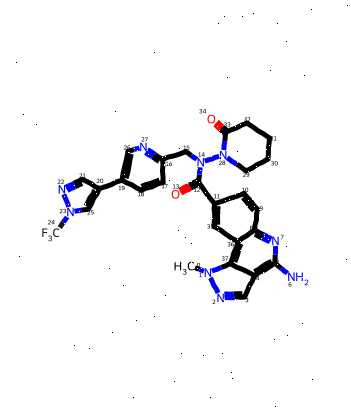 Cn1ncc2c(N)nc3ccc(C(=O)N(Cc4ccc(-c5cnn(C(F)(F)F)c5)cn4)N4CCCCC4=O)cc3c21